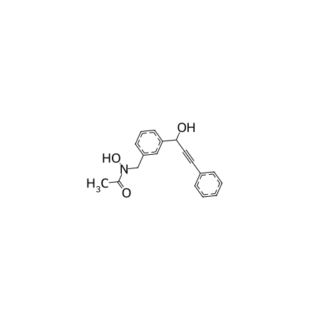 CC(=O)N(O)Cc1cccc(C(O)C#Cc2ccccc2)c1